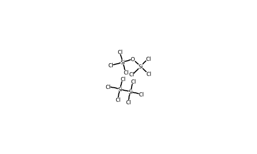 Cl[Si](Cl)(Cl)O[Si](Cl)(Cl)Cl.Cl[Si](Cl)(Cl)[Si](Cl)(Cl)Cl